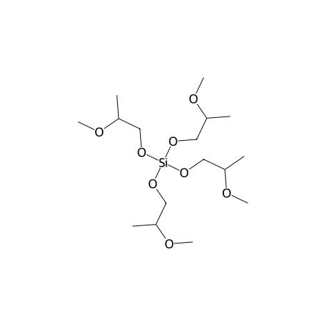 COC(C)CO[Si](OCC(C)OC)(OCC(C)OC)OCC(C)OC